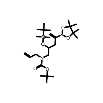 C=CCN(CC(CC(=C)B1OC(C)(C)C(C)(C)O1)O[Si](C)(C)C(C)(C)C)C(=O)OC(C)(C)C